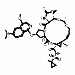 CC[C@@H]1C[C@H](C)CC/C=C\[C@@H]2C[C@@]2(C(=O)NS(=O)(=O)C2(C)CC2)NC(=O)[C@@H]2C[C@@H](Oc3ncc(OC)c4cc(N(C)C)ccc34)CN2C(=O)[C@H]1NC(=O)O